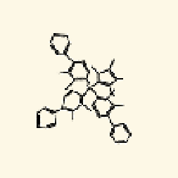 CC1=C(C)C(C)C([Si](c2ccc(-c3ccccc3)c(C)c2C)(c2ccc(-c3ccccc3)c(C)c2C)c2ccc(-c3ccccc3)c(C)c2C)=C1C